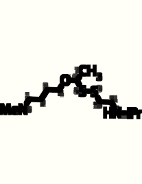 CNCCCCOC(C)SSCCNC(C)C